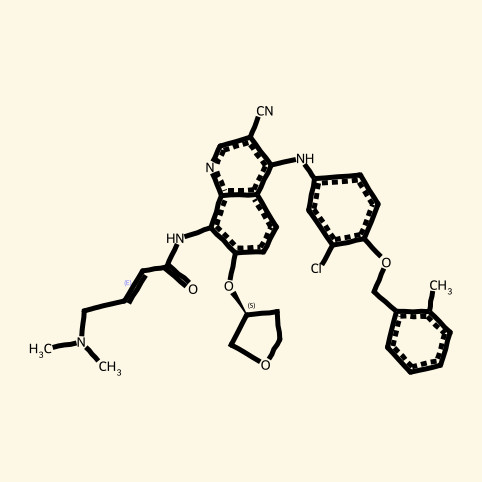 Cc1ccccc1COc1ccc(Nc2c(C#N)cnc3c(NC(=O)/C=C/CN(C)C)c(O[C@H]4CCOC4)ccc23)cc1Cl